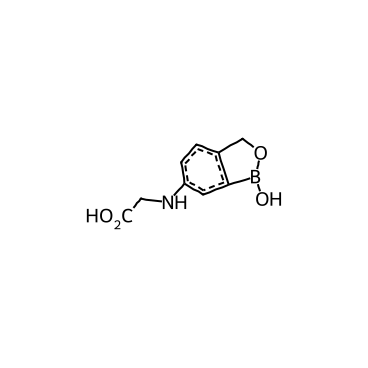 O=C(O)CNc1ccc2c(c1)B(O)OC2